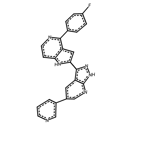 Fc1ccc(-c2nccc3[nH]c(-c4n[nH]c5ncc(-c6cccnc6)cc45)cc23)cc1